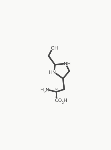 N[C@@H](CC1CNC(CO)N1)C(=O)O